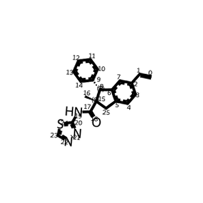 C=Cc1ccc2c(c1)[C@@H](c1ccccc1)[C@@](C)(C(=O)Nc1nncs1)C2